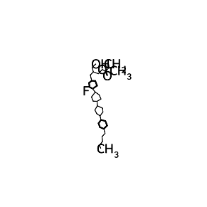 C=C(C)C(=O)OCC(CO)Cc1ccc(C2CCC(C3CCC(c4ccc(CCCCC)cc4)CC3)CC2)c(F)c1